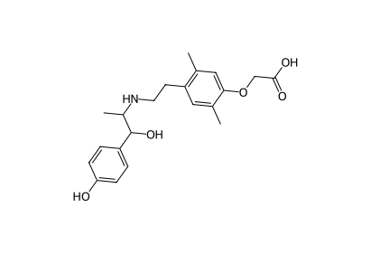 Cc1cc(OCC(=O)O)c(C)cc1CCNC(C)C(O)c1ccc(O)cc1